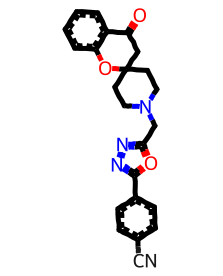 N#Cc1ccc(-c2nnc(CN3CCC4(CC3)CC(=O)c3ccccc3O4)o2)cc1